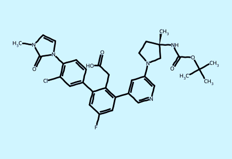 Cn1ccn(-c2ccc(-c3cc(F)cc(-c4cncc(N5CC[C@](C)(NC(=O)OC(C)(C)C)C5)c4)c3CC(=O)O)cc2Cl)c1=O